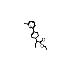 CCOC(=O)C(CC)C1CC=C(c2cccc(C)n2)CC1